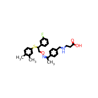 CC(=NOCC(Sc1ccc(C)c(C)c1)c1cccc(F)c1)c1ccc(CNCCC(=O)O)cc1